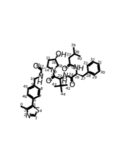 Cc1ncsc1-c1ccc(CNC(=O)[C@@H]2C[C@@H](O)CN2C(=O)C(NC(=O)[C@H](Cc2ccccc2)NC(=O)CC(C)C)C(C)(C)C)cc1